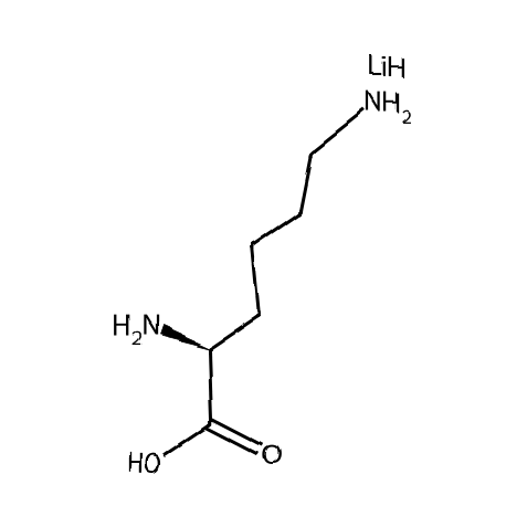 NCCCC[C@H](N)C(=O)O.[LiH]